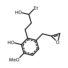 CCC(O)CCc1c(CC2=CO2)ccc(OC)c1O